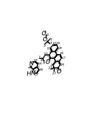 CC(C)(C)OC=O.CC(C)CC1C(=O)c2c(ccc3c2=CC(C)(C)C(=O)C=3)-c2ccccc21.c1cc2cc[nH]c2cn1